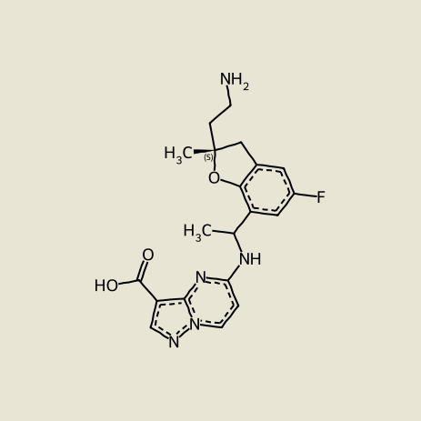 CC(Nc1ccn2ncc(C(=O)O)c2n1)c1cc(F)cc2c1O[C@](C)(CCN)C2